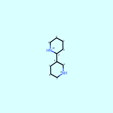 C1CCC([C]2CCCNC2)NC1